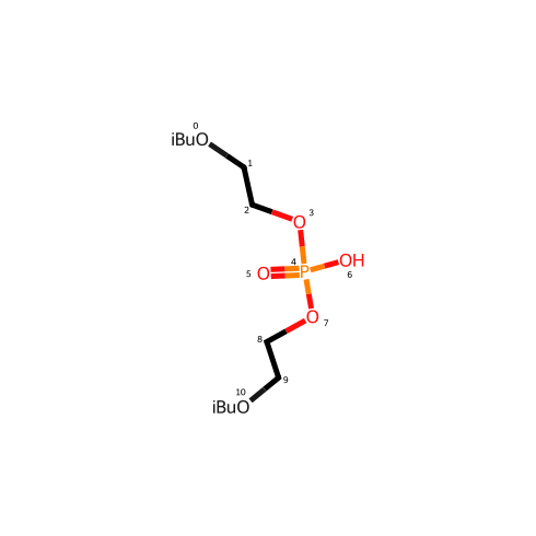 CC(C)COCCOP(=O)(O)OCCOCC(C)C